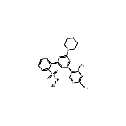 CC(C)(C)NS(=O)(=O)c1ccccc1-c1cc(-c2cnc(N)nc2C(F)(F)F)nc(N2CCOCC2)n1